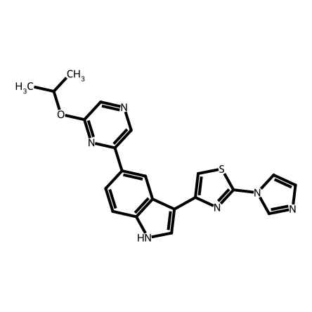 CC(C)Oc1cncc(-c2ccc3[nH]cc(-c4csc(-n5ccnc5)n4)c3c2)n1